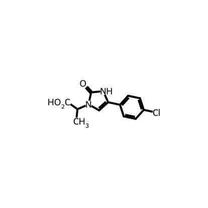 CC(C(=O)O)n1cc(-c2ccc(Cl)cc2)[nH]c1=O